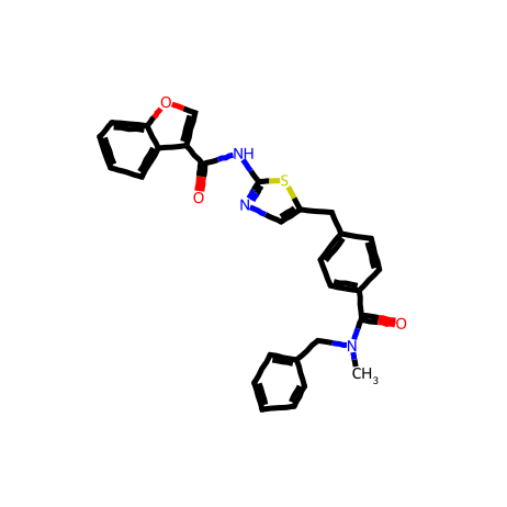 CN(Cc1ccccc1)C(=O)c1ccc(Cc2cnc(NC(=O)c3coc4ccccc34)s2)cc1